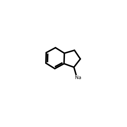 [Na][CH]1CCC2CC=CC=C12